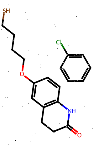 Clc1ccccc1.O=C1CCc2cc(OCCCCS)ccc2N1